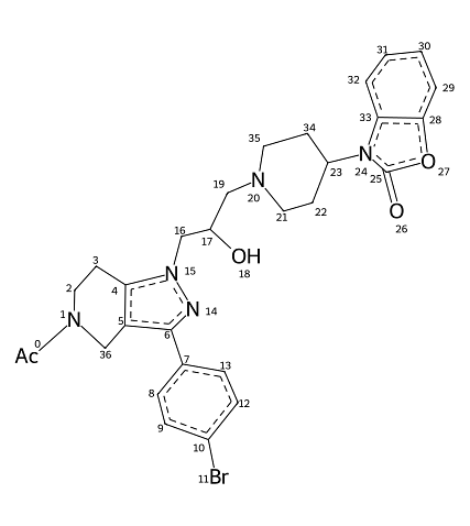 CC(=O)N1CCc2c(c(-c3ccc(Br)cc3)nn2CC(O)CN2CCC(n3c(=O)oc4ccccc43)CC2)C1